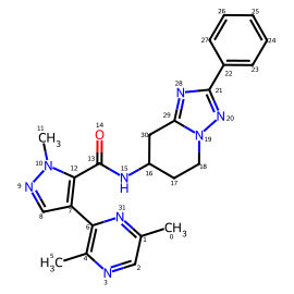 Cc1cnc(C)c(-c2cnn(C)c2C(=O)NC2CCn3nc(-c4ccccc4)nc3C2)n1